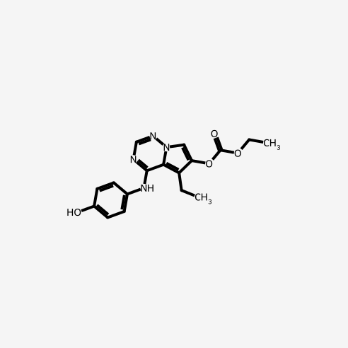 CCOC(=O)Oc1cn2ncnc(Nc3ccc(O)cc3)c2c1CC